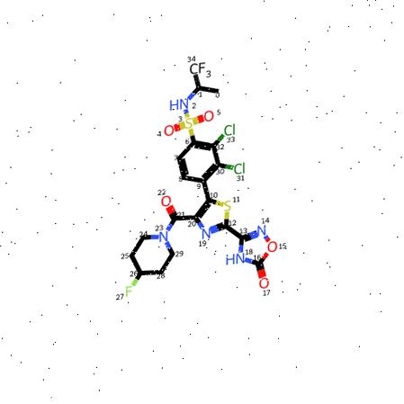 CC(NS(=O)(=O)c1ccc(-c2sc(-c3noc(=O)[nH]3)nc2C(=O)N2CCC(F)CC2)c(Cl)c1Cl)C(F)(F)F